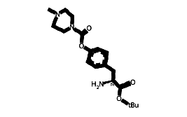 CN1CCN(C(=O)Oc2ccc(C[C@H](N)C(=O)OC(C)(C)C)cc2)CC1